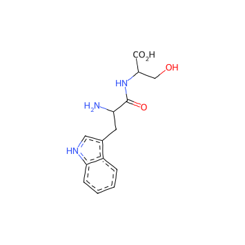 NC(Cc1c[nH]c2ccccc12)C(=O)NC(CO)C(=O)O